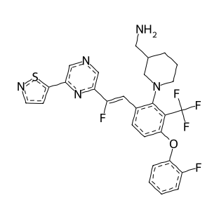 NCC1CCCN(c2c(/C=C(\F)c3cncc(-c4ccns4)n3)ccc(Oc3ccccc3F)c2C(F)(F)F)C1